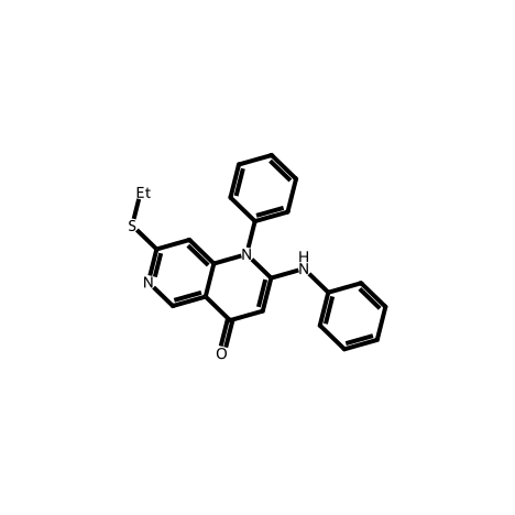 CCSc1cc2c(cn1)c(=O)cc(Nc1ccccc1)n2-c1ccccc1